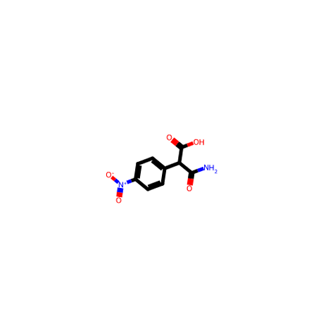 NC(=O)C(C(=O)O)c1ccc([N+](=O)[O-])cc1